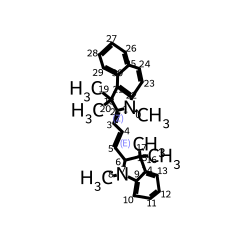 CN1/C(=C\C=C\C2N(C)c3ccccc3C2(C)C)C(C)(C)c2c1ccc1ccccc21